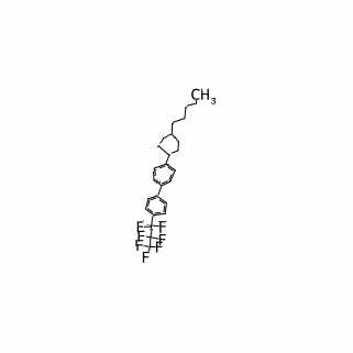 CCCCCC1CCC(c2ccc(-c3ccc(C(F)(F)C(F)(F)C(F)(F)F)cc3)cc2)CC1